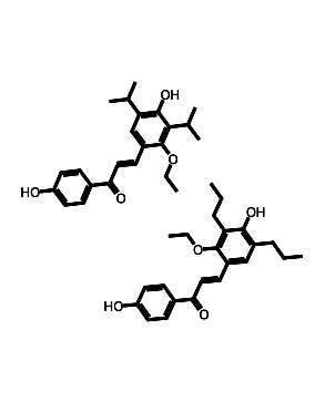 CCCc1cc(C=CC(=O)c2ccc(O)cc2)c(OCC)c(CCC)c1O.CCOc1c(C=CC(=O)c2ccc(O)cc2)cc(C(C)C)c(O)c1C(C)C